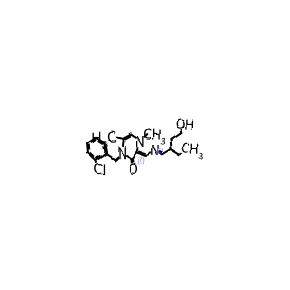 CCC(/C=N/C=C1/C(=O)N(Cc2ccccc2Cl)C(C)=CN1C)CCO